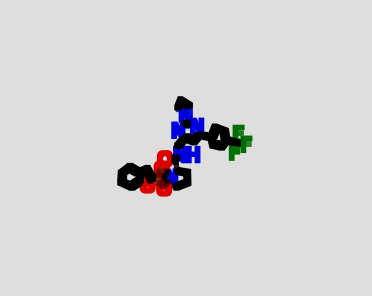 O=C(NCc1cc(-c2ccc(C(F)(F)F)cc2)nc(N2CCC2)n1)[C@@H]1CCCN1S(=O)(=O)c1cc2ccccc2o1